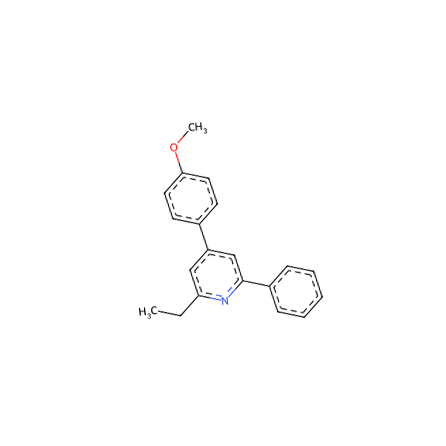 CCc1cc(-c2ccc(OC)cc2)cc(-c2ccccc2)n1